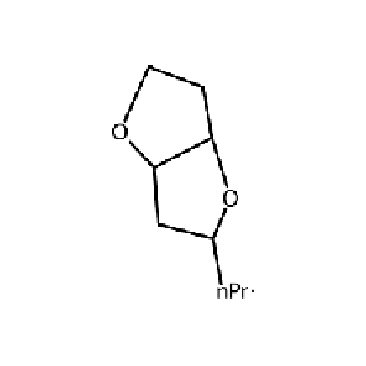 CC[CH]C1CC2OCCC2O1